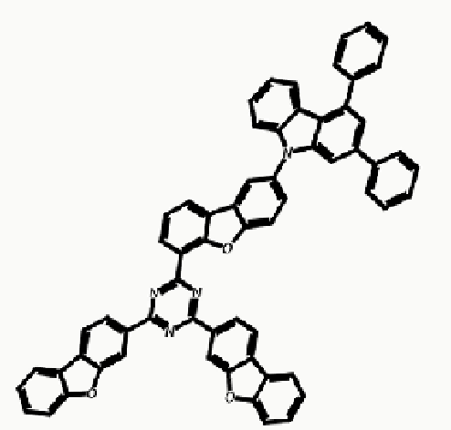 c1ccc(-c2cc(-c3ccccc3)c3c4ccccc4n(-c4ccc5oc6c(-c7nc(-c8ccc9c(c8)oc8ccccc89)nc(-c8ccc9c(c8)oc8ccccc89)n7)cccc6c5c4)c3c2)cc1